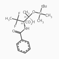 CC(F)(F)[C@H](NC(=O)c1ccccc1)[C@@](C)(O[Si](C)(C)C(C)(C)C)C(=O)O